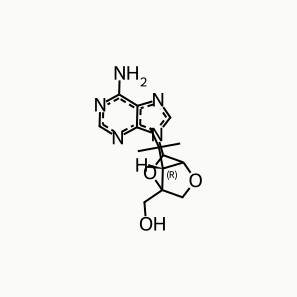 CC(C)(C)[C@@H]1C2OCC1(CO)OC2n1cnc2c(N)ncnc21